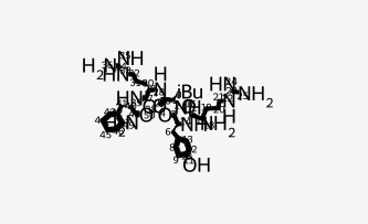 CC[C@H](C)[C@H](NC(=O)[C@H](Cc1ccc(O)cc1)NC(=O)[C@@H](N)CCCNC(=N)N)C(=O)N[C@@H](CCCNC(=N)N)C(=O)N[C@@H](Cc1ccccc1)C(N)=O